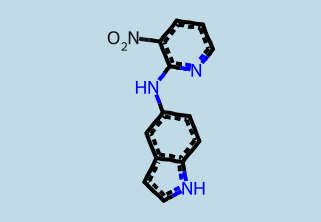 O=[N+]([O-])c1cccnc1Nc1ccc2[nH]ccc2c1